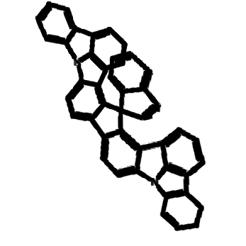 C1=Cc2c(c3cccc4c5c6c(ccc5n2c34)-c2ccc3c(c2C62c4ccccc4-c4ccccc42)c2c4c(c5ccccc5n43)=CCC2)CC1